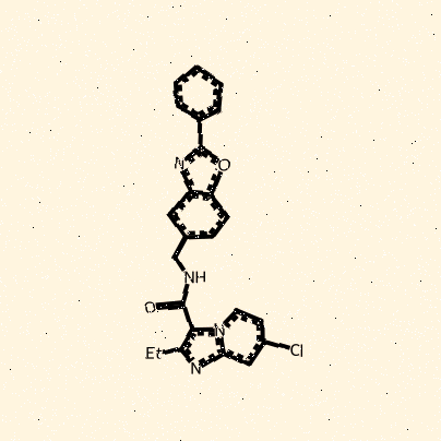 CCc1nc2cc(Cl)ccn2c1C(=O)NCc1ccc2oc(-c3ccccc3)nc2c1